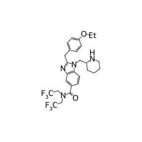 CCOc1ccc(Cc2nc3cc(C(=O)N(CC(F)(F)F)CC(F)(F)F)ccc3n2CC2CCCCN2)cc1